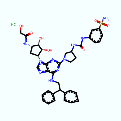 Cl.NS(=O)(=O)c1cccc(NC(=O)NC2CCN(c3nc(NCC(c4ccccc4)c4ccccc4)c4ncn([C@@H]5C[C@H](NC(=O)CO)[C@@H](O)[C@H]5O)c4n3)C2)c1